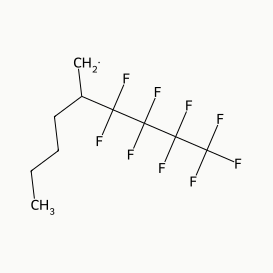 [CH2]C(CCCC)C(F)(F)C(F)(F)C(F)(F)C(F)(F)F